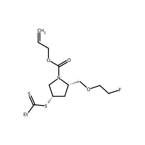 C=CCOC(=O)N1C[C@@H](SC(=S)CC)C[C@H]1COCCF